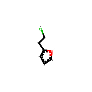 Cl[CH]Cc1ccco1